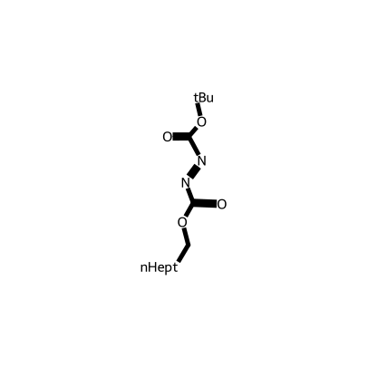 CCCCCCCCOC(=O)/N=N/C(=O)OC(C)(C)C